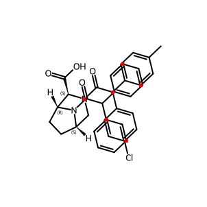 Cc1ccc(C(C(=O)N2C[C@@H]3CC[C@H]([C@H]2C(=O)O)N3C(=O)C(c2ccccc2)c2ccccc2)c2ccc(Cl)cc2)cc1